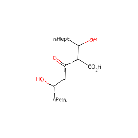 CCCCCCCC(O)C(C(=O)O)C(=O)CC(O)CCCCC